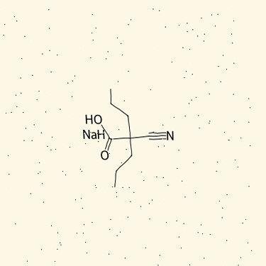 CCCC(C#N)(CCC)C(=O)O.[NaH]